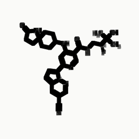 CC(C)(O)[C@H](F)CNC(=O)c1cnc(-c2ccc3cc(C#N)cnn23)cc1NC1CCC2(CCC(=O)N2)CC1